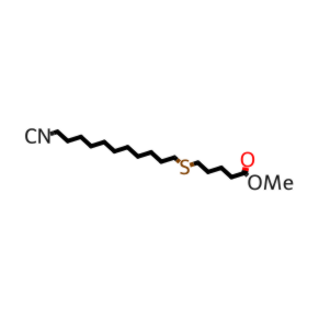 [C-]#[N+]CCCCCCCCCCCSCCCCC(=O)OC